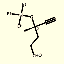 C#C[C@](C)(CCC=O)O[Si](CC)(CC)CC